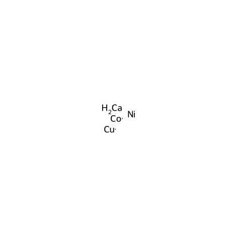 [CaH2].[Co].[Cu].[Ni]